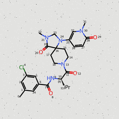 Cc1cc(Cl)cc(C(=O)N[C@@H](C(=O)N2CCC3(CC2)C(=O)N(C)CN3c2ccc(=O)n(C)c2)C(C)C)c1